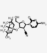 CC(C)C[Si](CC(C)C)(O[C@H]1[C@H](C#N)[C@H](n2ccc(N)nc2=O)O[C@@H]1CO)C(C)(C)C